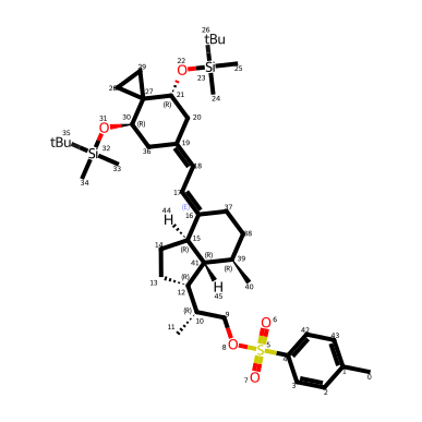 Cc1ccc(S(=O)(=O)OC[C@H](C)[C@@H]2CC[C@H]3/C(=C/C=C4C[C@@H](O[Si](C)(C)C(C)(C)C)C5(CC5)[C@H](O[Si](C)(C)C(C)(C)C)C4)CC[C@@H](C)[C@H]23)cc1